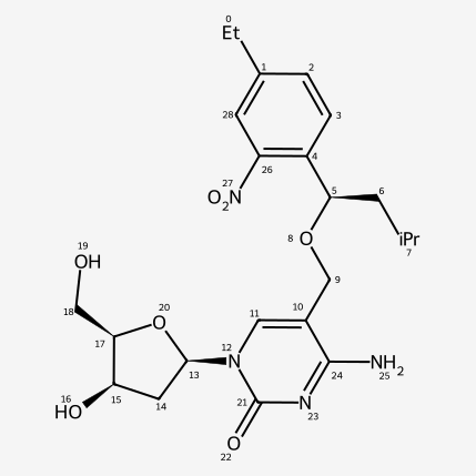 CCc1ccc([C@@H](CC(C)C)OCc2cn([C@H]3C[C@@H](O)[C@@H](CO)O3)c(=O)nc2N)c([N+](=O)[O-])c1